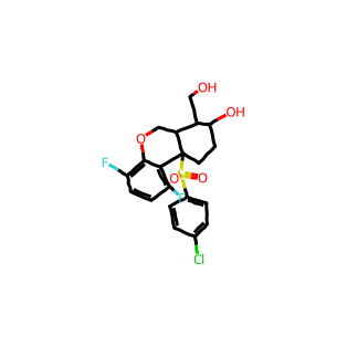 O=S(=O)(c1ccc(Cl)cc1)C12CCC(O)C(CO)C1COc1c(F)ccc(F)c12